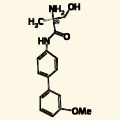 COc1cccc(-c2ccc(NC(=O)[C@@](C)(N)CO)cc2)c1